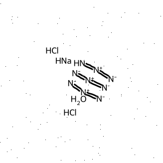 Cl.Cl.O.[N-]=[N+]=N.[N-]=[N+]=[N-].[N-]=[N+]=[N-].[NaH]